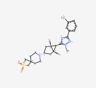 CC(C)n1nc(-c2cccc(C(F)(F)F)c2)nc1[C@H]1[C@@H]2C[C@H](N3CCC4(CC3)CS(=O)(=O)C4)C[C@@H]21